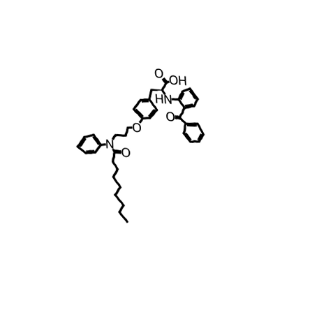 CCCCCCCCC(=O)N(CCCOc1ccc(C[C@H](Nc2ccccc2C(=O)c2ccccc2)C(=O)O)cc1)c1ccccc1